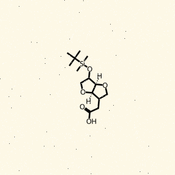 CC(C)(C)[Si](C)(C)OC1CO[C@@H]2C(CC(=O)O)CO[C@H]12